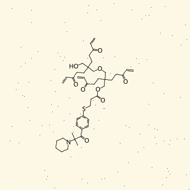 C=CC(=O)CCC(CO)(CCC(=O)C=C)COCC(CCC(=O)C=C)(CCC(=O)C=C)COC(=O)CCSc1ccc(C(=O)C(C)(C)N2CCCCC2)cc1